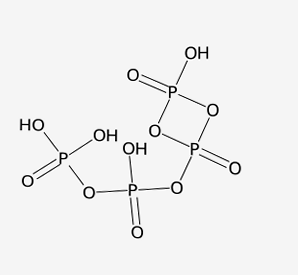 O=P(O)(O)OP(=O)(O)OP1(=O)OP(=O)(O)O1